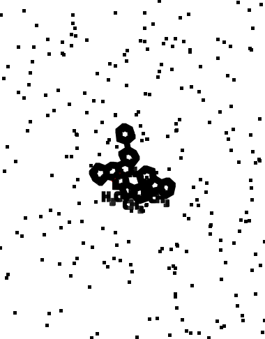 CC1(C)c2ccccc2-c2ccc(N(c3ccc(-c4ccccc4)cc3-c3ccc4ccccc4c3)c3cccc4c3-c3ccccc3C4(C)C)cc21